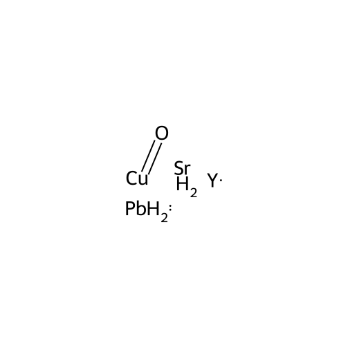 [O]=[Cu].[PbH2].[SrH2].[Y]